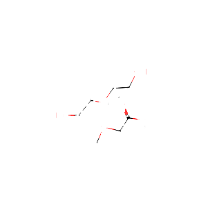 COCC(=O)O.OCCOCCO